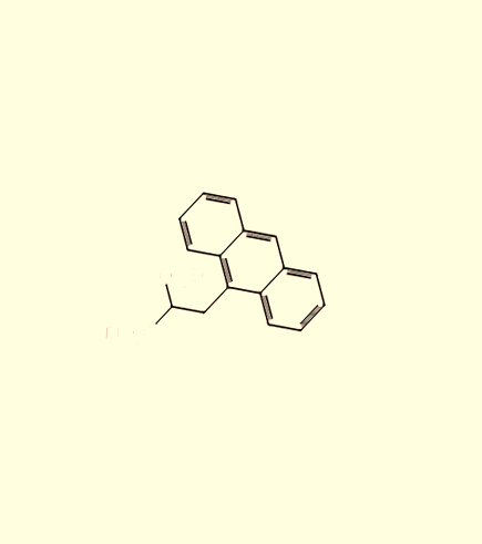 CCOC(=O)C(Cc1c2ccccc2cc2ccccc12)C(=O)OCC